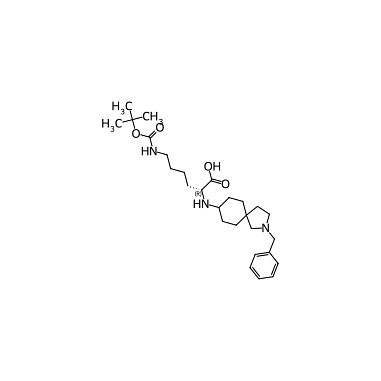 CC(C)(C)OC(=O)NCCCC[C@@H](NC1CCC2(CC1)CCN(Cc1ccccc1)C2)C(=O)O